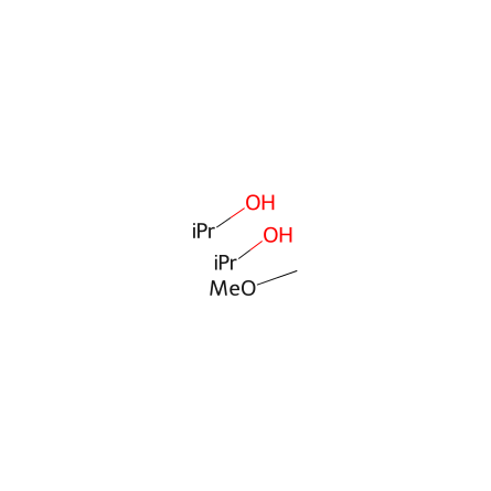 CC(C)O.CC(C)O.COC